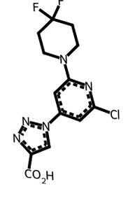 O=C(O)c1cn(-c2cc(Cl)nc(N3CCC(F)(F)CC3)c2)nn1